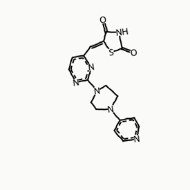 O=C1NC(=O)C(=Cc2ccnc(N3CCN(c4ccncc4)CC3)n2)S1